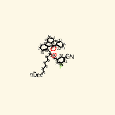 CCCCCCCCCCCCCCCC[C@@H](COC(c1ccccc1)(c1ccccc1)c1ccccc1)OCc1cc(F)cc(C#N)c1